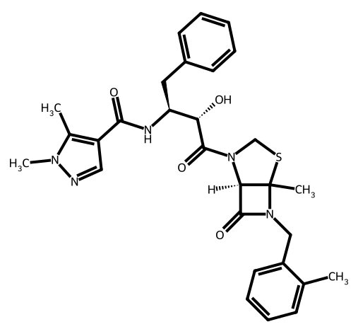 Cc1ccccc1CN1C(=O)[C@H]2N(C(=O)[C@@H](O)[C@H](Cc3ccccc3)NC(=O)c3cnn(C)c3C)CSC21C